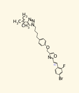 CS(C)(C)c1cn(CCCCc2ccc(OCc3coc(/C=C/c4ccc(Br)cc4F)n3)cc2)nn1